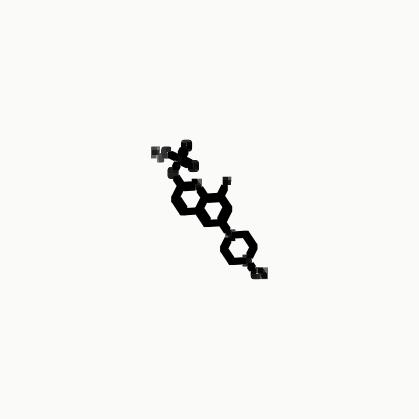 N#CB1CCN(c2cc(F)c3nc(OS(=O)(=O)C(F)(F)F)ccc3c2)CC1